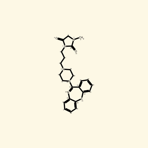 CN1CC(=O)N(CCCN2CCN(C3=Nc4ccccc4Sc4ccccc43)CC2)C1=O